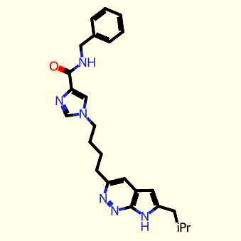 CC(C)Cc1cc2cc(CCCCn3cnc(C(=O)NCc4ccccc4)c3)nnc2[nH]1